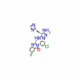 Nc1ncnc(NCCc2nc3ccc(F)cc3c(=O)n2-c2cccc(Cl)c2)c1C#Cc1cnccn1